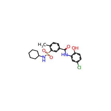 Cc1ccc(C(=O)Nc2cc(Cl)ccc2O)cc1S(=O)(=O)NC1CCCCC1